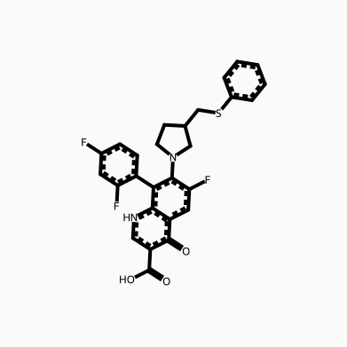 O=C(O)c1c[nH]c2c(-c3ccc(F)cc3F)c(N3CCC(CSc4ccccc4)C3)c(F)cc2c1=O